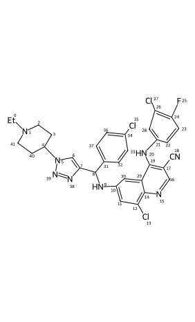 CCN1CCC(n2cc(C(Nc3cc(Cl)c4ncc(C#N)c(Nc5ccc(F)c(Cl)c5)c4c3)c3ccc(Cl)cc3)nn2)CC1